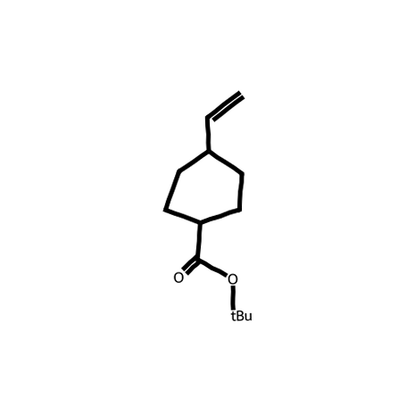 C=CC1CCC(C(=O)OC(C)(C)C)CC1